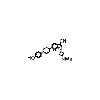 CN[C@H]1C[C@H](n2cc(C#N)c3ccc(C4CCN(c5ccc(O)cc5)CC4)nc32)C1